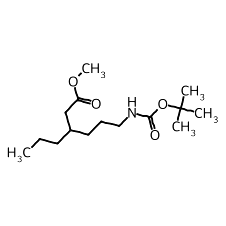 CCCC(CCCNC(=O)OC(C)(C)C)CC(=O)OC